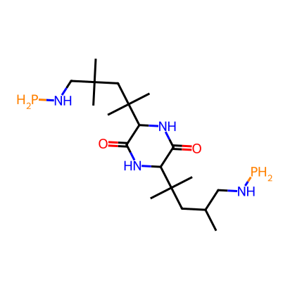 CC(CNP)CC(C)(C)C1NC(=O)C(C(C)(C)CC(C)(C)CNP)NC1=O